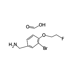 NCc1ccc(OCCF)c(Br)c1.O=CO